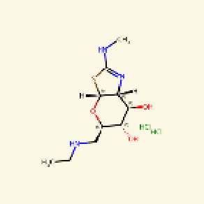 CCNC[C@H]1O[C@@H]2SC(NC)=N[C@@H]2[C@@H](O)[C@@H]1O.Cl.Cl